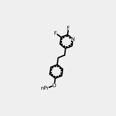 CCCOc1ccc(CCc2cnc(F)c(F)c2)cc1